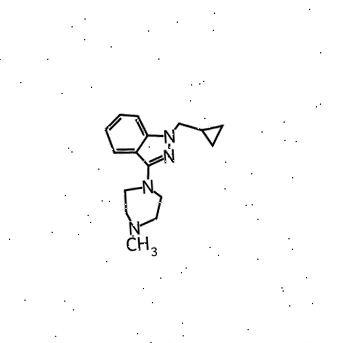 CN1CCN(c2nn(CC3CC3)c3ccccc23)CC1